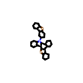 c1ccc2c(c1)sc1ccc(-n3c4ccccc4c4c5sc6ccccc6c5c5ccccc5c43)cc12